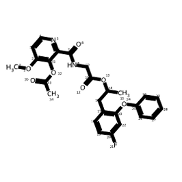 COc1ccnc(C(=O)NCC(=O)OC(C)Cc2ccc(F)cc2Oc2ccccc2)c1OC(C)=O